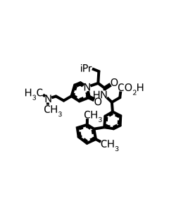 Cc1cccc(C)c1-c1cccc(C(CC(=O)O)NC(=O)C(CC(C)C)n2ccc(CCN(C)C)cc2=O)c1